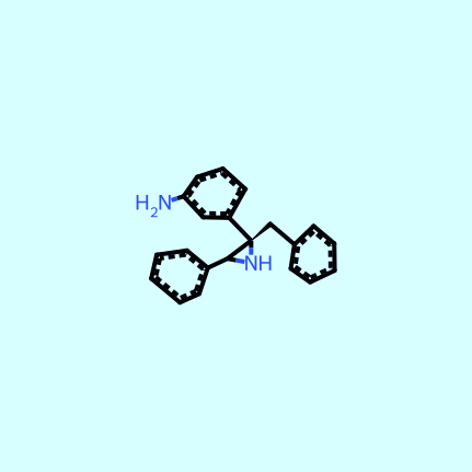 Nc1cccc([C@]2(Cc3ccccc3)NC2c2ccccc2)c1